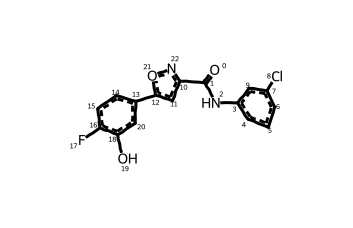 O=C(Nc1cccc(Cl)c1)c1cc(-c2ccc(F)c(O)c2)on1